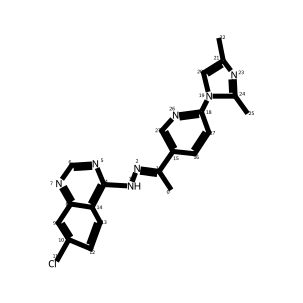 C/C(=N\Nc1ncnc2cc(Cl)ccc12)c1ccc(-n2cc(C)nc2C)nc1